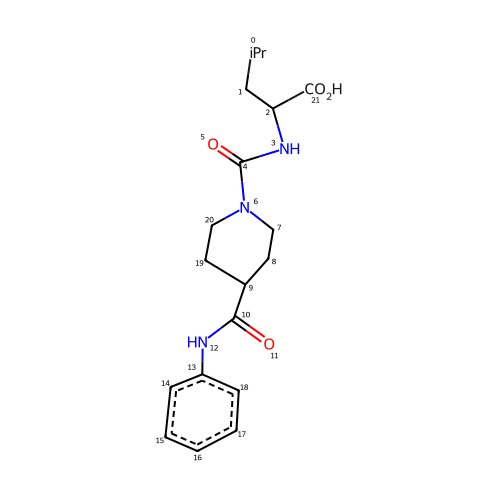 CC(C)CC(NC(=O)N1CCC(C(=O)Nc2ccccc2)CC1)C(=O)O